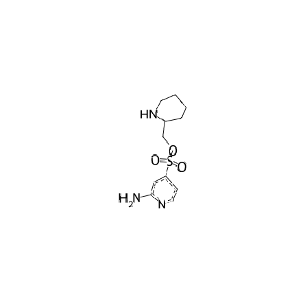 Nc1cc(S(=O)(=O)OCC2CCCCN2)ccn1